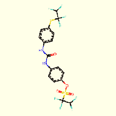 O=C(Nc1ccc(OS(=O)(=O)C(F)(F)C(F)F)cc1)Nc1ccc(SC(F)(F)C(F)F)cc1